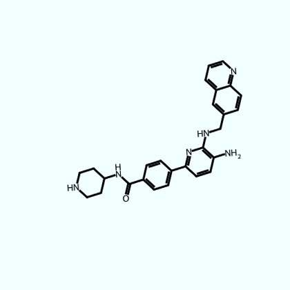 Nc1ccc(-c2ccc(C(=O)NC3CCNCC3)cc2)nc1NCc1ccc2ncccc2c1